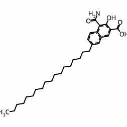 CCCCCCCCCCCCCCCCCCc1ccc2c(C(N)=O)c(O)c(C(=O)O)cc2c1